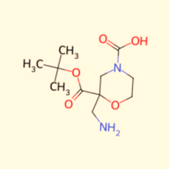 CC(C)(C)OC(=O)C1(CN)CN(C(=O)O)CCO1